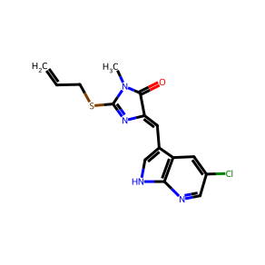 C=CCSC1=N/C(=C\c2c[nH]c3ncc(Cl)cc23)C(=O)N1C